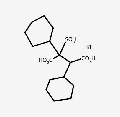 O=C(O)C(C1CCCCC1)C(C(=O)O)(C1CCCCC1)S(=O)(=O)O.[KH]